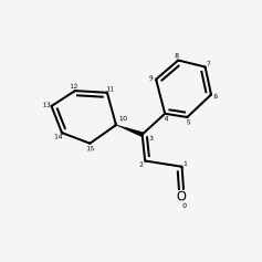 O=C/C=C(\c1ccccc1)[C@@H]1C=CC=CC1